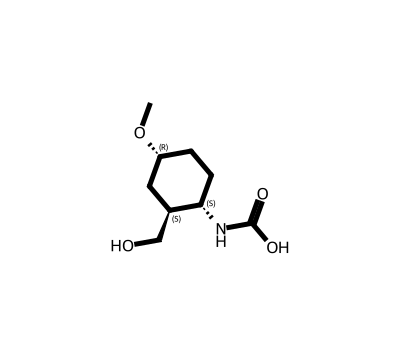 CO[C@@H]1CC[C@H](NC(=O)O)[C@@H](CO)C1